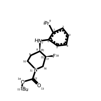 CC(C)c1ccccc1N[C@@H]1CCN(C(=O)OC(C)(C)C)C[C@@H]1F